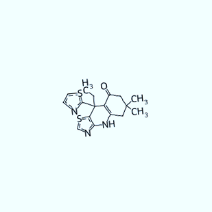 CCC1(c2nccs2)C2=C(CC(C)(C)CC2=O)Nc2ncsc21